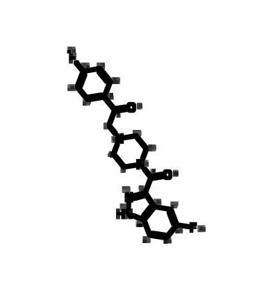 O=C(CN1CCN(C(=O)c2n[nH]c3ccc(F)cc23)CC1)c1ccc(F)cc1